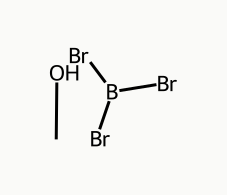 BrB(Br)Br.CO